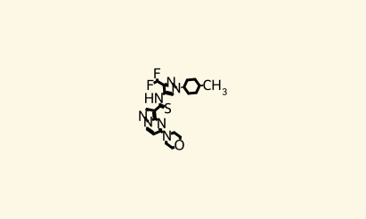 C[C@H]1CC[C@H](n2cc(NC(=S)c3cnn4ccc(N5CCOCC5)nc34)c(C(F)F)n2)CC1